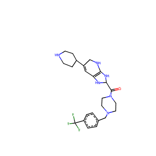 O=C(C1NC2=C(NCC(C3CCNCC3)=C2)N1)N1CCN(Cc2ccc(C(F)(F)F)cc2)CC1